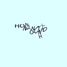 CC1(C)C(=O)Nc2cc3oc(-c4cnc(O)nc4)nc3cc21